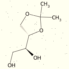 CC1(C)OC[C@@H]([C@@H](O)CO)O1